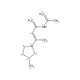 C=C(C)NC(=C)/C=C(\C)N1CCC(C)C1